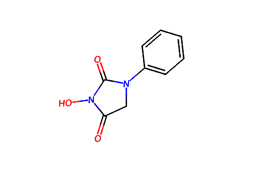 O=C1CN(c2ccccc2)C(=O)N1O